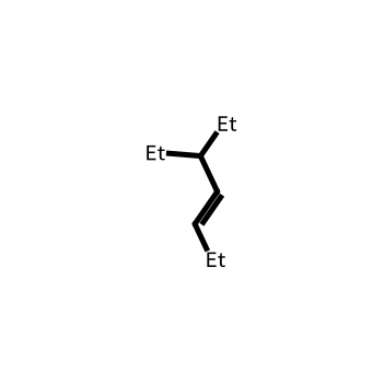 [CH2]CC=CC(CC)CC